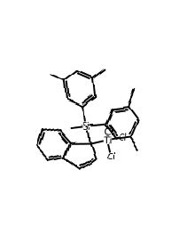 Cc1cc(C)cc([Si](C)(c2cc(C)cc(C)c2)[C]2([Ti]([Cl])([Cl])[Cl])C=Cc3ccccc32)c1